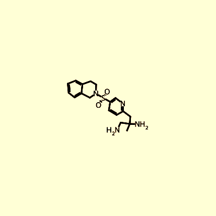 CC(N)(CN)Cc1ccc(S(=O)(=O)N2CCc3ccccc3C2)cn1